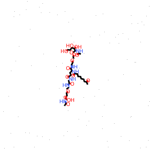 CC(=O)CCCCCCC(=O)NC(CCC(=O)NCC(=O)NCCOCCOC(O)NC(C)=O)C(=O)NCCOCCOC1OC(CO)C(O)C(O)C1NC(C)=O